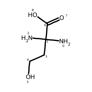 NC(N)(CCO)C(=O)O